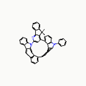 CC1(C)c2ccccc2-c2nc3cc(c21)c1cccc2c1c1ccc(cc1n2-c1ccccc1)c1cccc2cc4c5ccccc5n3c4cc21